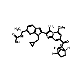 COc1cc(C(=O)N2C[C@H]3CC[C@@H]2[C@@H]3N)cc2nc(-c3cc4ccc([C@@H](C)NC(=O)C(C)(C)C)nc4n3CC3CC3)c(C)n12